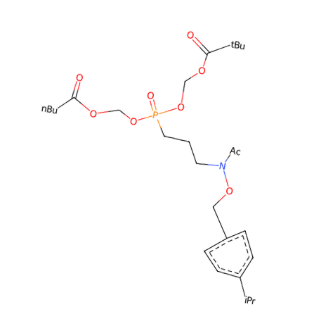 CCCCC(=O)OCOP(=O)(CCCN(OCc1ccc(C(C)C)cc1)C(C)=O)OCOC(=O)C(C)(C)C